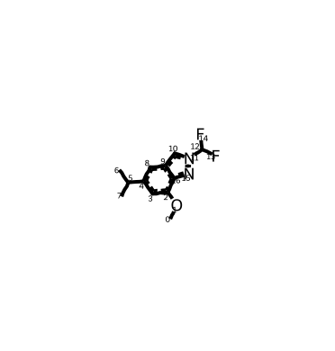 COc1cc(C(C)C)cc2cn(C(F)F)nc12